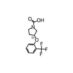 O=C(O)N1CC[C@H](Oc2ccccc2C(F)(F)F)C1